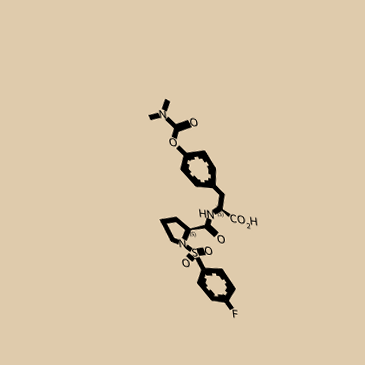 CN(C)C(=O)Oc1ccc(C[C@H](NC(=O)[C@@H]2CCCN2S(=O)(=O)c2ccc(F)cc2)C(=O)O)cc1